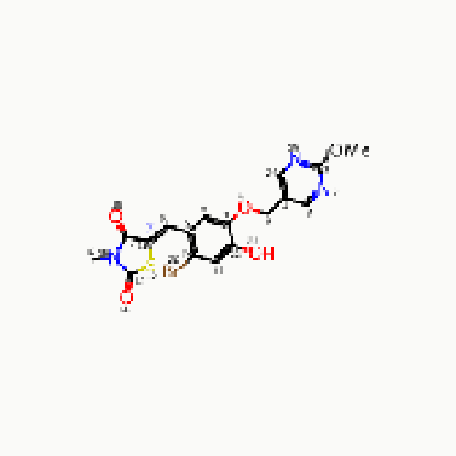 COc1ncc(COc2cc(/C=C3\SC(=O)N(C)C3=O)c(Br)cc2O)cn1